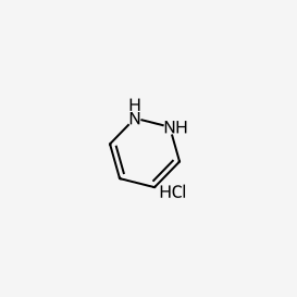 C1=CNNC=C1.Cl